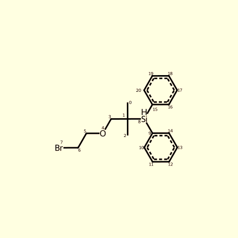 CC(C)(COCCBr)[SiH](c1ccccc1)c1ccccc1